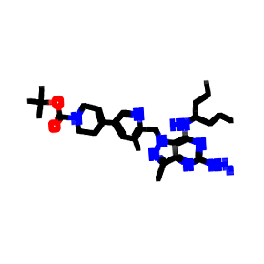 CCCC(CCC)Nc1nc(N)nc2c(C)nn(Cc3ncc(C4=CCN(C(=O)OC(C)(C)C)CC4)cc3C)c12